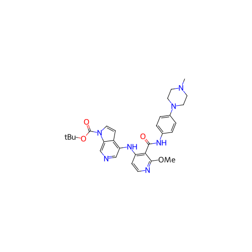 COc1nccc(Nc2cncc3c2ccn3C(=O)OC(C)(C)C)c1C(=O)Nc1ccc(N2CCN(C)CC2)cc1